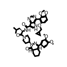 COc1ccc(C2=NN(C3CCN(C(=O)[C@@H](CC(C)C)NC(=O)c4c[nH]c5c(-c6c(OCC7CC7)ccc7c6OCO7)ncnc45)CC3)C(=O)[C@@H]3CCCC[C@H]23)cc1OC